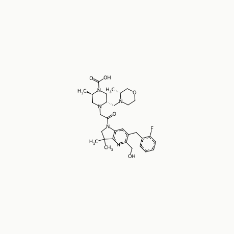 C[C@@H]1COCCN1C[C@H]1CN(C(=O)O)[C@H](C)CN1CC(=O)N1CC(C)(C)c2nc(CO)c(Cc3ccccc3F)cc21